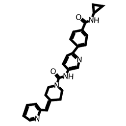 O=C(NC1CC1)c1ccc(-c2ccc(NC(=O)N3CCC(=Cc4ccccn4)CC3)cn2)cc1